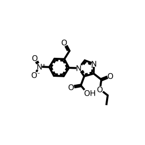 CCOC(=O)c1ncn(-c2ccc([N+](=O)[O-])cc2C=O)c1C(=O)O